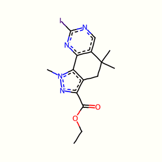 CCOC(=O)c1nn(C)c2c1CC(C)(C)c1cnc(I)nc1-2